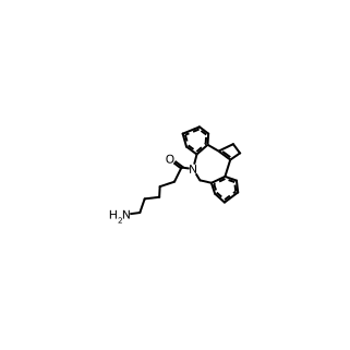 NCCCCCC(=O)N1Cc2ccccc2C2=C(CC2)c2ccccc21